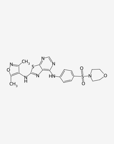 Cc1noc(C)c1Nc1nc2c(Nc3ccc(S(=O)(=O)N4CCOCC4)cc3)ncnc2s1